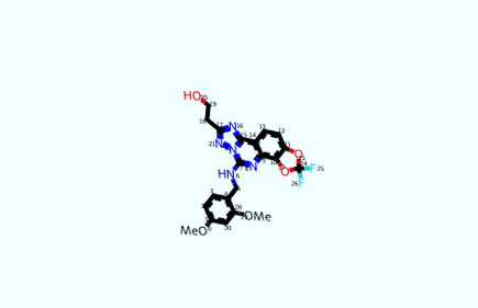 COc1ccc(CNc2nc3c4c(ccc3c3nc(CCO)nn23)OC(F)(F)O4)c(OC)c1